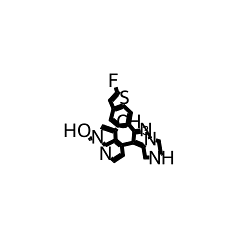 Cc1cn(CO)c2nccc(-c3c(-c4ccc5cc(F)sc5c4)nn4c3CNCC4)c12